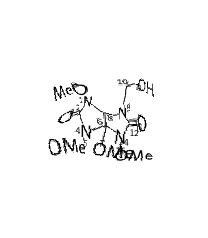 CON1C(=O)N(OC)C2(OC)C1N(CO)C(=O)N2OC